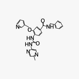 Cc1cnc(NC(=O)Nc2ccc(C(=O)NCc3ccccc3)cc2OCc2cccnc2)cn1